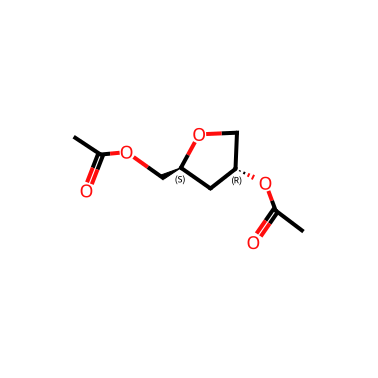 CC(=O)OC[C@@H]1C[C@@H](OC(C)=O)CO1